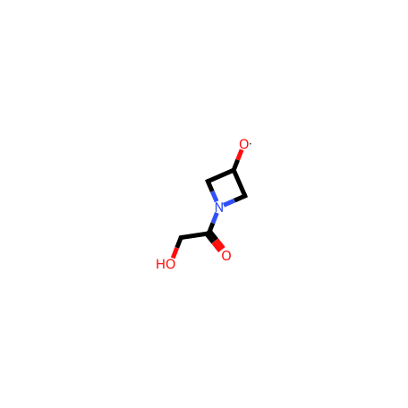 [O]C1CN(C(=O)CO)C1